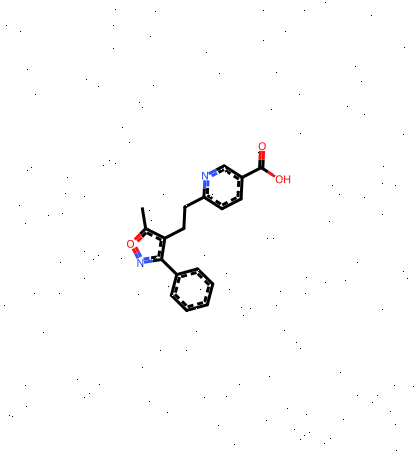 Cc1onc(-c2ccccc2)c1CCc1ccc(C(=O)O)cn1